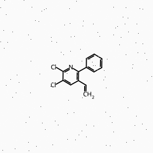 C=Cc1cc(Cl)c(Cl)nc1-c1ccccc1